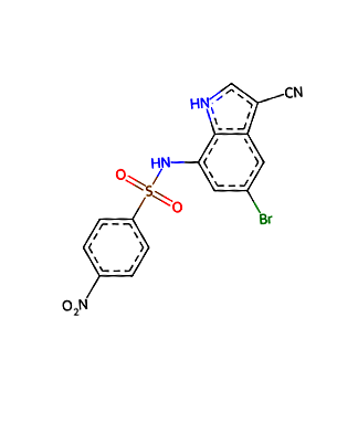 N#Cc1c[nH]c2c(NS(=O)(=O)c3ccc([N+](=O)[O-])cc3)cc(Br)cc12